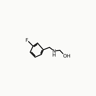 OCNCc1cccc(F)c1